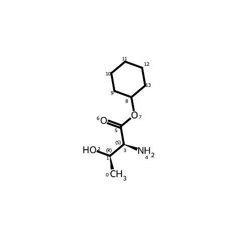 C[C@@H](O)[C@H](N)C(=O)OC1CCCCC1